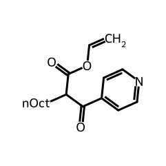 C=COC(=O)C(CCCCCCCC)C(=O)c1ccncc1